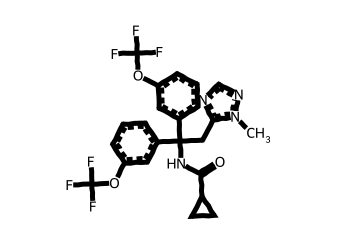 Cn1ncnc1CC(NC(=O)C1CC1)(c1cccc(OC(F)(F)F)c1)c1cccc(OC(F)(F)F)c1